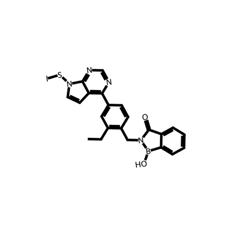 CCc1cc(-c2ncnc3c2ccn3SI)ccc1CN1B(O)c2ccccc2C1=O